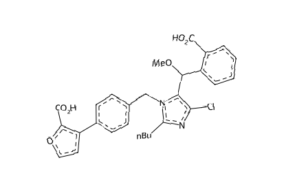 CCCCc1nc(Cl)c(C(OC)c2ccccc2C(=O)O)n1Cc1ccc(-c2ccoc2C(=O)O)cc1